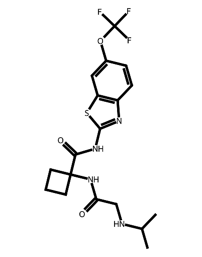 CC(C)NCC(=O)NC1(C(=O)Nc2nc3ccc(OC(F)(F)F)cc3s2)CCC1